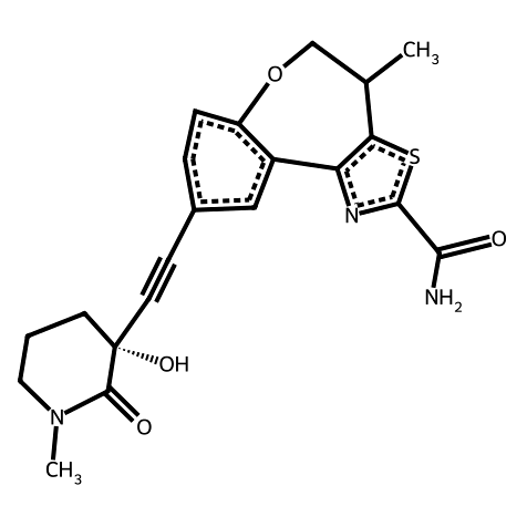 CC1COc2ccc(C#C[C@]3(O)CCCN(C)C3=O)cc2-c2nc(C(N)=O)sc21